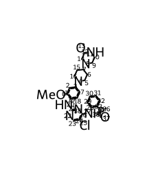 COc1cc(N2CCC(N3CCNC(=O)C3)CC2)ccc1Nc1ncc(Cl)c(Nc2ccccc2P(C)(C)=O)n1